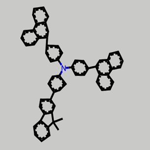 CC1(C)c2ccccc2-c2ccc(-c3ccc(N(c4ccc(-c5cc6ccccc6c6ccccc56)cc4)c4ccc(-c5cc6ccccc6c6ccccc56)cc4)cc3)cc21